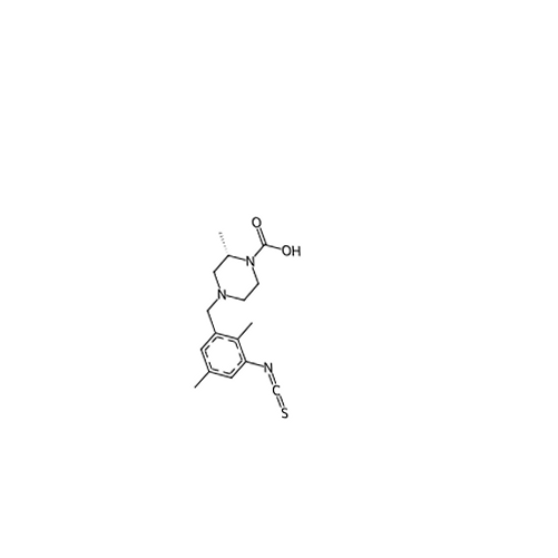 Cc1cc(CN2CCN(C(=O)O)[C@@H](C)C2)c(C)c(N=C=S)c1